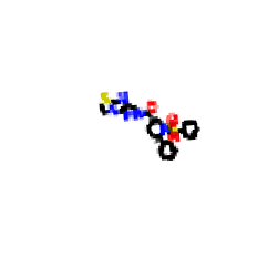 O=C(NCc1cn2ccsc2n1)[C@@H]1CC[C@H](c2ccccc2)N(S(=O)(=O)c2ccccc2)C1